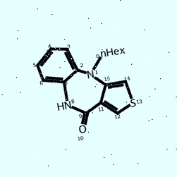 CCCCCCN1c2ccccc2NC(=O)c2cscc21